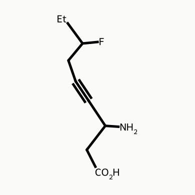 CCC(F)CC#CC(N)CC(=O)O